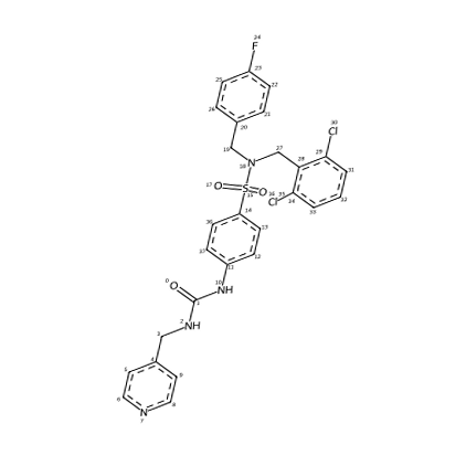 O=C(NCc1ccncc1)Nc1ccc(S(=O)(=O)N(Cc2ccc(F)cc2)Cc2c(Cl)cccc2Cl)cc1